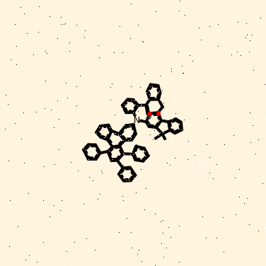 CC1(C)c2ccccc2-c2ccc(N(c3ccc4c(c3)c3ccccc3c3c(-c5ccccc5)cc(-c5ccccc5)c(-c5ccccc5)c43)c3ccccc3C3=CCCc4ccccc43)cc21